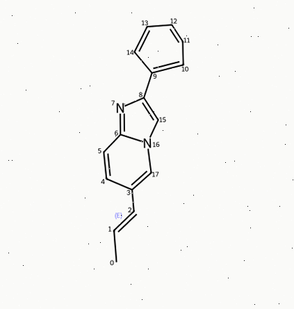 C/C=C/c1ccc2nc(-c3ccccc3)cn2c1